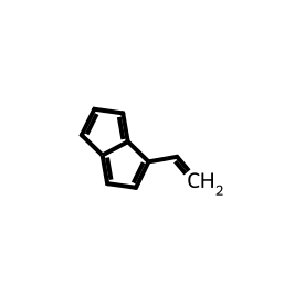 C=CC1=CC=C2C=CC=C12